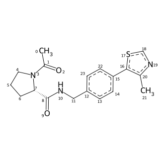 CC(=O)N1CCC[C@H]1C(=O)NCc1ccc(-c2scnc2C)cc1